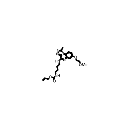 C=CCOC(=O)NCCCCNc1nc2cc(OCCOC)ccc2n2c(C)nnc12